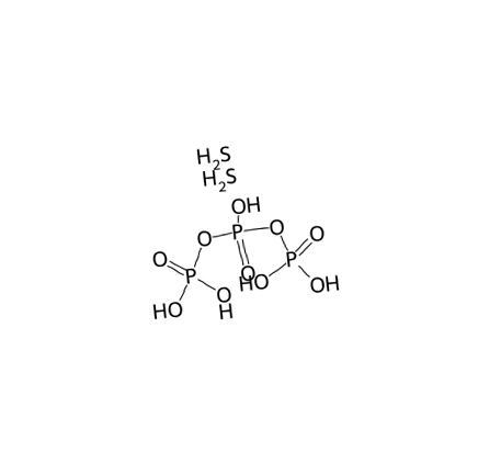 O=P(O)(O)OP(=O)(O)OP(=O)(O)O.S.S